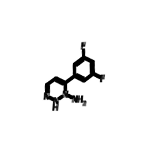 NN1NN=CC=C1c1cc(F)cc(F)c1